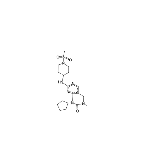 CN1Cc2cnc(NC3CCN(S(C)(=O)=O)CC3)nc2N(C2CCCC2)C1=O